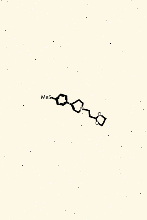 CSc1ccc(C2=CCN(CCC3OCCO3)CC2)cc1